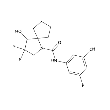 N#Cc1cc(F)cc(NC(=O)N2CC(F)(F)C(O)C23CCCC3)c1